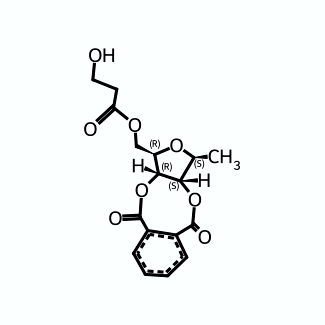 C[C@@H]1O[C@H](COC(=O)CCO)[C@H]2OC(=O)c3ccccc3C(=O)O[C@H]21